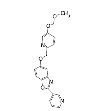 COCOc1ccc(COc2ccc3oc(-c4cccnc4)nc3c2)nc1